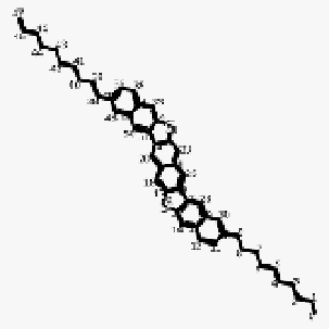 CCCCCCCCCCc1ccc2cc3sc4cc5cc6c(cc5cc4c3cc2c1)sc1cc2ccc(CCCCCCCCCC)cc2cc16